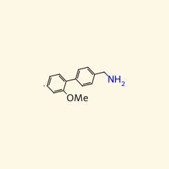 COc1c[c]ccc1-c1ccc(CN)cc1